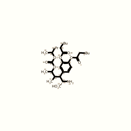 CCC(C)CC(=O)Oc1ccc(C(C(C)C(C)OC(=O)OC(C)C(C)C)[C@H](N)C(=O)O)cc1OC(=O)CC(C)CC